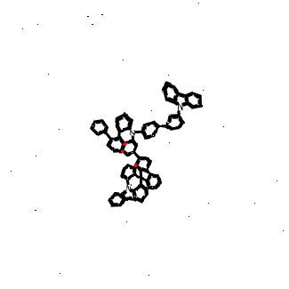 c1ccc(-c2ccccc2-c2ccccc2N(c2ccc(-c3cccc(-n4c5ccccc5c5ccccc54)c3)cc2)c2cccc(-c3ccc4c(c3)C3(c5ccccc5-4)c4ccccc4-n4c5ccccc5c5cccc3c54)c2)cc1